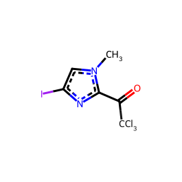 Cn1cc(I)nc1C(=O)C(Cl)(Cl)Cl